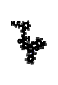 CCC1CCCCN1CCCNC(=O)c1ccc2c(c1)N(Cc1ccc(F)cc1)C(=O)/C(=C/c1ccccc1)S2